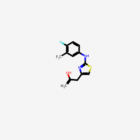 C=C(O)Cc1csc(Nc2ccc(F)c(C(F)(F)F)c2)n1